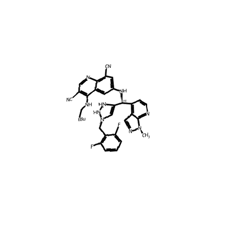 Cn1ncc2c([C@H](Nc3cc(C#N)c4ncc(C#N)c(NCC(C)(C)C)c4c3)C3=CN(Cc4c(F)cccc4F)NN3)ccnc21